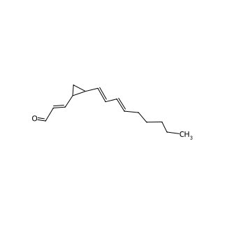 CCCCCC=CC=CC1CC1C=CC=O